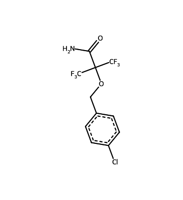 NC(=O)C(OCc1ccc(Cl)cc1)(C(F)(F)F)C(F)(F)F